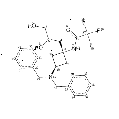 O=C(N[C@]1(CC(O)CO)C[C@@H](N(Cc2ccccc2)Cc2ccccc2)C1)C(F)(F)F